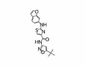 CC(C)(C)c1cc(NC(=O)c2csc(Nc3ccc4ccoc4c3)n2)no1